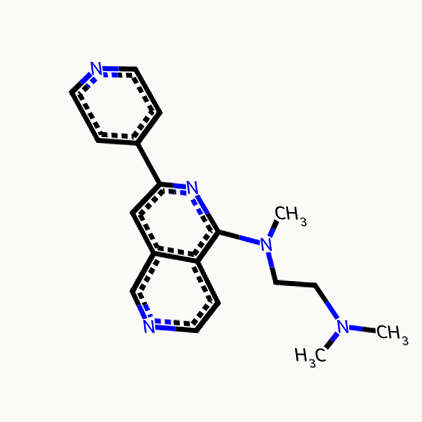 CN(C)CCN(C)c1nc(-c2ccncc2)cc2cnccc12